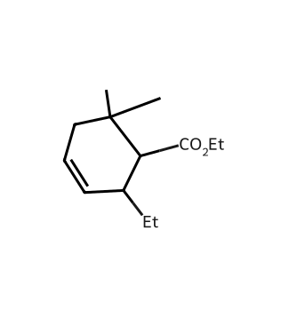 CCOC(=O)C1C(CC)C=CCC1(C)C